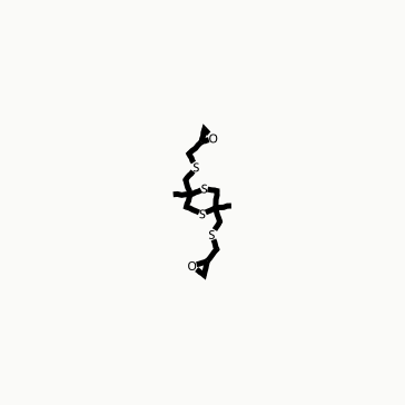 CC1(CSCC2CO2)CSC(C)(CSCC2CO2)CS1